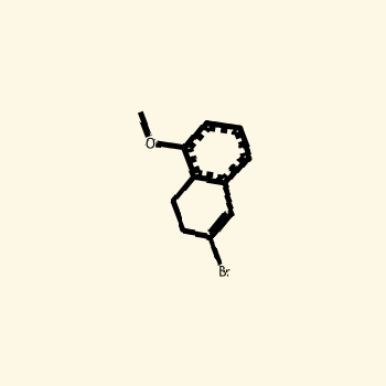 COc1cccc2c1CCC(Br)=C2